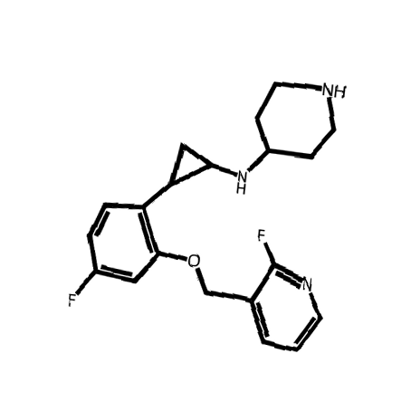 Fc1ccc(C2CC2NC2CCNCC2)c(OCc2cccnc2F)c1